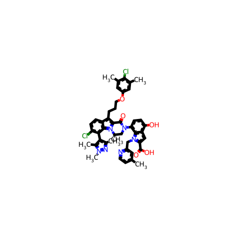 Cc1ccnc(Cn2c(C(=O)O)cc3c(O)ccc(N4CC(C)n5c(c(CCCOc6cc(C)c(Cl)c(C)c6)c6ccc(Cl)c(-c7c(C)nn(C)c7C)c65)C4=O)c32)c1